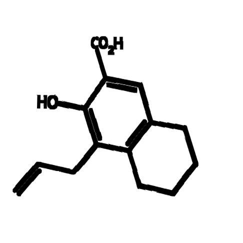 C=CCc1c(O)c(C(=O)O)cc2c1CCCC2